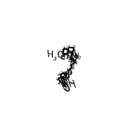 CC1(C)CCc2cccc(N3CCN(CCCCOc4ccc5c(n4)NC(=O)CC5)CC3)c2C1